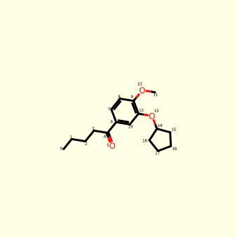 CCCCC(=O)c1ccc(OC)c(OC2CCCC2)c1